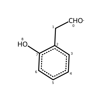 O=[C]Cc1ccccc1O